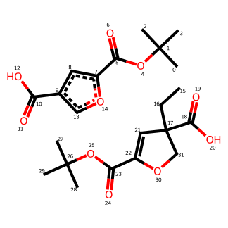 CC(C)(C)OC(=O)c1cc(C(=O)O)co1.CCC1(C(=O)O)C=C(C(=O)OC(C)(C)C)OC1